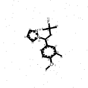 COc1ccc(C(CC(C)(C)F)n2cccn2)cc1C